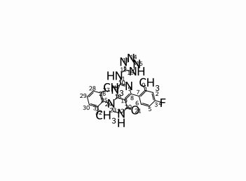 Cc1cc(F)ccc1-c1nc(Nc2nnn[nH]2)nc2c1C(=O)NCN2c1c(C)cccc1C